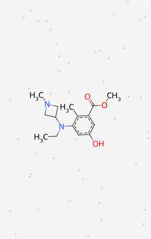 CCN(c1cc(O)cc(C(=O)OC)c1C)C1CN(C)C1